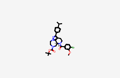 COc1cc(C(=O)N2CCc3c(-c4ccc(C(C)C)cc4)nn4c3[C@H]2CN(C(=O)OC(C)(C)C)CC4)ccc1Br